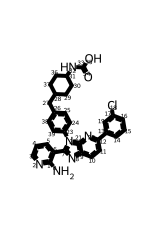 Nc1ncccc1-c1nc2ccc(-c3cccc(Cl)c3)nc2n1-c1ccc(CC2CCC(NC(=O)O)CC2)cc1